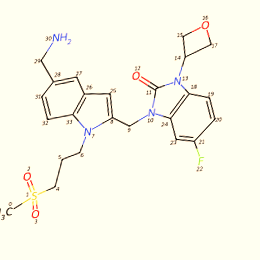 CS(=O)(=O)CCCn1c(Cn2c(=O)n(C3COC3)c3ccc(F)cc32)cc2cc(CN)ccc21